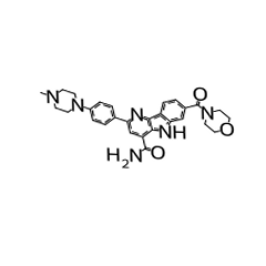 CN1CCN(c2ccc(-c3cc(C(N)=O)c4[nH]c5cc(C(=O)N6CCOCC6)ccc5c4n3)cc2)CC1